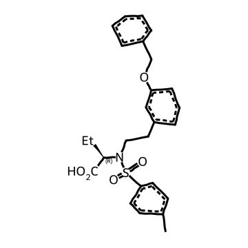 CC[C@H](C(=O)O)N(CCc1cccc(OCc2ccccc2)c1)S(=O)(=O)c1ccc(C)cc1